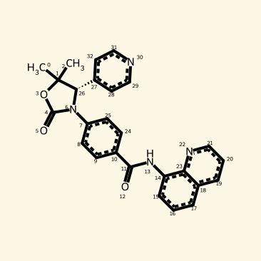 CC1(C)OC(=O)N(c2ccc(C(=O)Nc3cccc4cccnc34)cc2)[C@H]1c1ccncc1